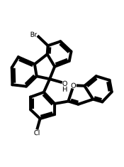 OC1(c2ccc(Cl)cc2-c2cc3ccccc3o2)c2ccccc2-c2c(Br)cccc21